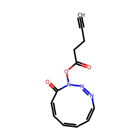 C#CCCC(=O)On1nnccccccc1=O